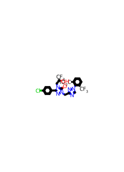 O=C(O)c1cccc(C(F)(F)F)c1-n1cnc(Cn2nc(-c3ccc(Cl)cc3)n(CC(O)C(F)(F)F)c2=O)n1